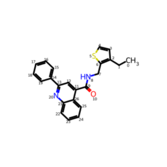 CCc1ccsc1CNC(=O)c1cc(-c2ccccc2)nc2ccccc12